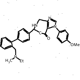 CCN(C)Cc1ccccc1-c1ccc(C2CC(=O)c3c(ncn3-c3ccc(OC)cc3)CN2)cc1